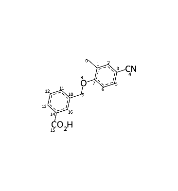 Cc1cc(C#N)ccc1OCc1cccc(C(=O)O)c1